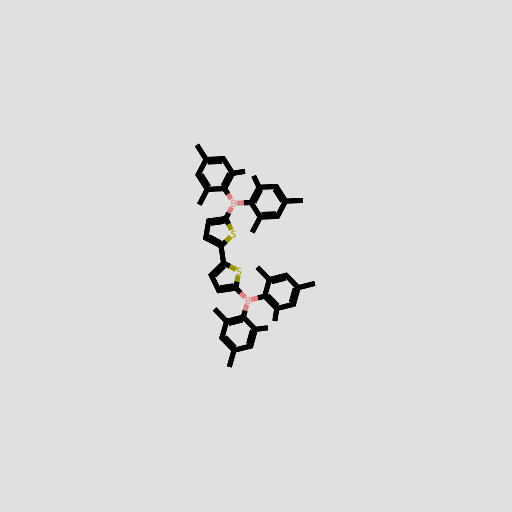 Cc1cc(C)c(B(c2ccc(-c3ccc(B(c4c(C)cc(C)cc4C)c4c(C)cc(C)cc4C)s3)s2)c2c(C)cc(C)cc2C)c(C)c1